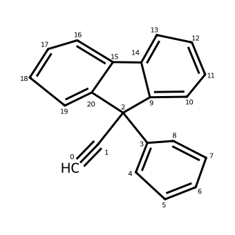 C#CC1(c2ccccc2)c2ccccc2-c2ccccc21